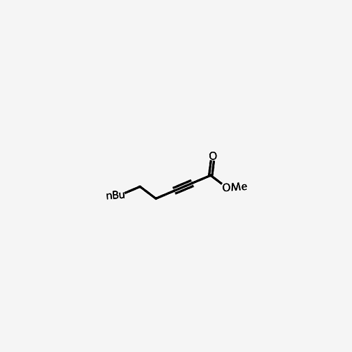 [CH2]CCCCCC#CC(=O)OC